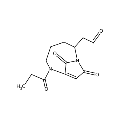 CCC(=O)N1CCCC(C[C]=O)N2C(=O)C=C1C2=O